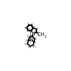 C=C1Cc2ccccc2N1C1CC2CCCC(C1)N2